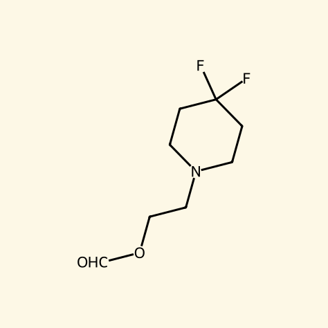 O=COCCN1CCC(F)(F)CC1